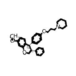 COc1ccc2c(c1)OC[C@@H](c1ccccc1)[C@H]2c1ccc(OCCCN2CCCCC2)cc1